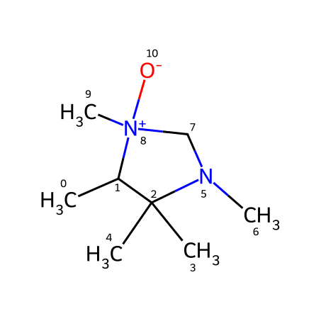 CC1C(C)(C)N(C)C[N+]1(C)[O-]